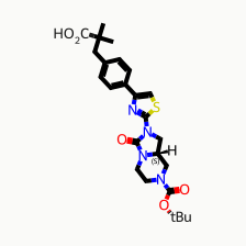 CC(C)(C)OC(=O)N1CCN2C(=O)N(c3nc(-c4ccc(CC(C)(C)C(=O)O)cc4)cs3)C[C@@H]2C1